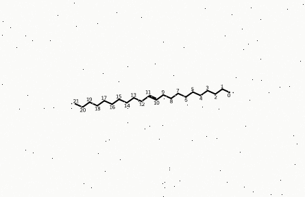 [CH2]CCCCCCCCC/C=C/CCCCCCCCC[CH2]